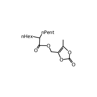 CCCCCCC(CCCCC)C(=O)OCc1oc(=O)oc1C